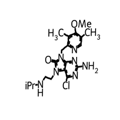 COc1c(C)cnc(Cn2c(=O)n(CCNC(C)C)c3c(Cl)nc(N)nc32)c1C